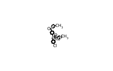 CC1CCN(C(=O)c2ccc(N(Cc3ccc(Cl)cc3)S(=O)(=O)c3cn(C)cn3)cc2)C1